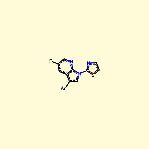 CC(=O)c1cn(-c2nccs2)c2ncc(F)cc12